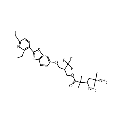 CCc1ccc(-c2cc3ccc(OCC(COC(=O)C(C)(C)C(N)CC(C)(C)N)C(F)(F)F)cc3s2)c(CC)n1